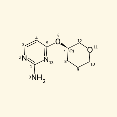 Nc1nccc(O[C@@H]2CCCOC2)n1